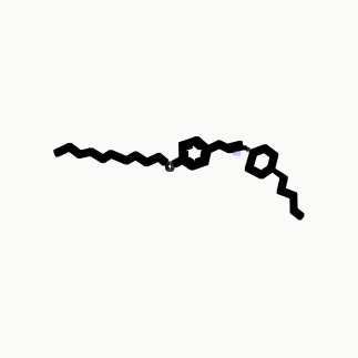 CCCCCCCCCCOc1ccc([CH]/C=C/[C@H]2CC[C@H](CCCCC)CC2)cc1